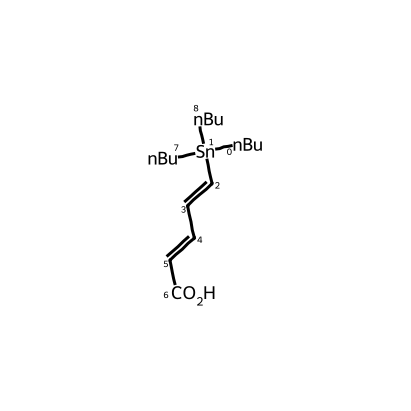 CCC[CH2][Sn]([CH]=CC=CC(=O)O)([CH2]CCC)[CH2]CCC